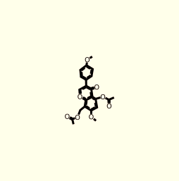 COc1ccc(-c2coc3c(COC(C)=O)c(OC)cc(OC(C)=O)c3c2=O)cc1